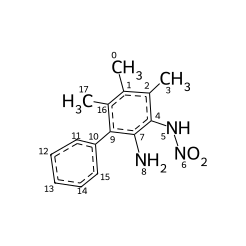 Cc1c(C)c(N[N+](=O)[O-])c(N)c(-c2ccccc2)c1C